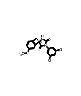 O=C1N(c2cc(Cl)cc(Cl)c2)C(=S)N[C@]12Cc1ccc(OC(F)(F)F)cc12